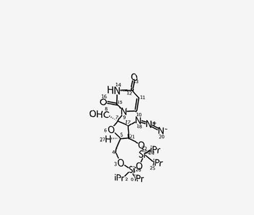 CC(C)[Si]1(C(C)C)OC[C@H]2O[C@@](C=O)(n3ccc(=O)[nH]c3=O)C(N=[N+]=[N-])C2O[Si](C(C)C)(C(C)C)O1